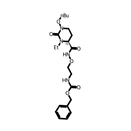 CCCCON1CC[C@@H](C(=O)NOCCNC(=O)OCc2ccccc2)N(CC)C1=O